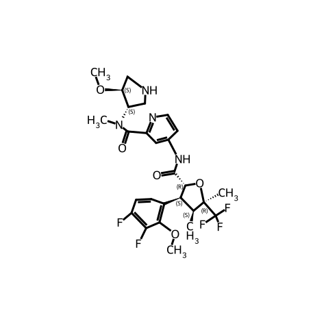 COc1c([C@H]2[C@H](C(=O)Nc3ccnc(C(=O)N(C)[C@H]4CNC[C@@H]4OC)c3)O[C@@](C)(C(F)(F)F)[C@H]2C)ccc(F)c1F